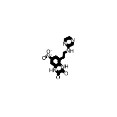 O=c1[nH]c2cc([N+](=O)[O-])cc(CCNc3cnccn3)c2[nH]c1=O